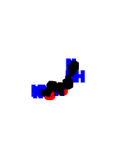 N#CCNC(=O)c1cccc(-c2cc(-c3cccc(CNCCc4cccnc4)c3)on2)c1